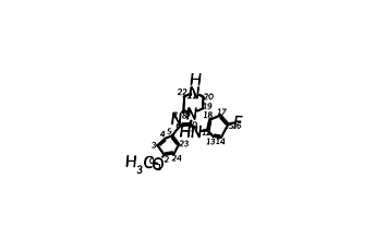 COc1ccc(-c2nc3n(c2Nc2ccc(F)cc2)CCNC3)cc1